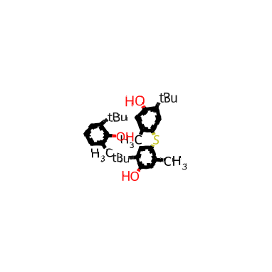 Cc1cc(O)c(C(C)(C)C)cc1Sc1cc(C(C)(C)C)c(O)cc1C.Cc1cccc(C(C)(C)C)c1O